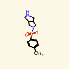 Cc1ccc(S(=O)(=O)N2CC3CNCC3C2)cc1